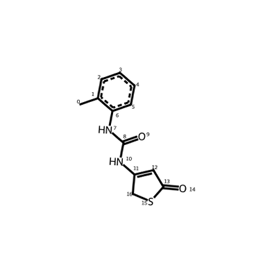 Cc1ccccc1NC(=O)NC1=CC(=O)SC1